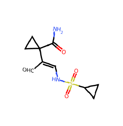 NC(=O)C1(C(C=O)=CNS(=O)(=O)C2CC2)CC1